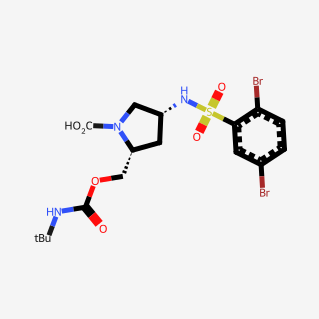 CC(C)(C)NC(=O)OC[C@H]1C[C@@H](NS(=O)(=O)c2cc(Br)ccc2Br)CN1C(=O)O